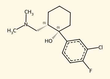 CN(C)C[C@@H]1CCCC[C@@]1(O)c1ccc(F)c(Cl)c1